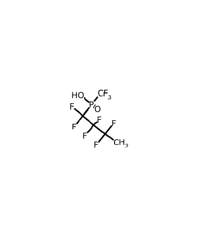 CC(F)(F)C(F)(F)C(F)(F)P(=O)(O)C(F)(F)F